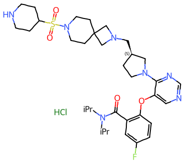 CC(C)N(C(=O)c1cc(F)ccc1Oc1cncnc1N1CC[C@@H](CN2CC3(CCN(S(=O)(=O)C4CCNCC4)CC3)C2)C1)C(C)C.Cl